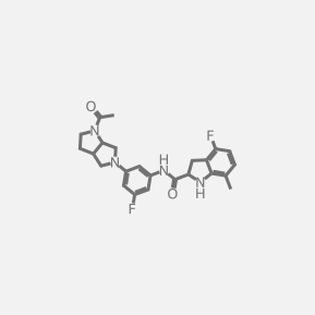 CC(=O)N1CCC2CN(c3cc(F)cc(NC(=O)C4Cc5c(F)ccc(C)c5N4)c3)CC21